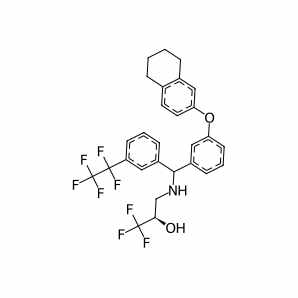 O[C@H](CNC(c1cccc(Oc2ccc3c(c2)CCCC3)c1)c1cccc(C(F)(F)C(F)(F)F)c1)C(F)(F)F